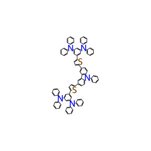 c1ccc(N(c2ccccc2)c2cc(-c3ccc(-c4ccc5c(c4)c4cc(-c6ccc(-c7cc(N(c8ccccc8)c8ccccc8)cc(N(c8ccccc8)c8ccccc8)c7)s6)ccc4n5-c4ccccc4)s3)cc(N(c3ccccc3)c3ccccc3)c2)cc1